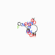 CC(C)(C)OC(=O)N[C@H]1CCCCC/C=C\[C@@H]2C[C@@]2(C(=O)O)NC(=O)[C@@H]2C[C@@H](CC(=O)N3CC4C=CC=C(F)C4C3)CN2C1=O